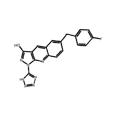 Oc1nn(-c2nnn[nH]2)c2nc3ccc(Cc4ccc(F)cc4)cc3cc12